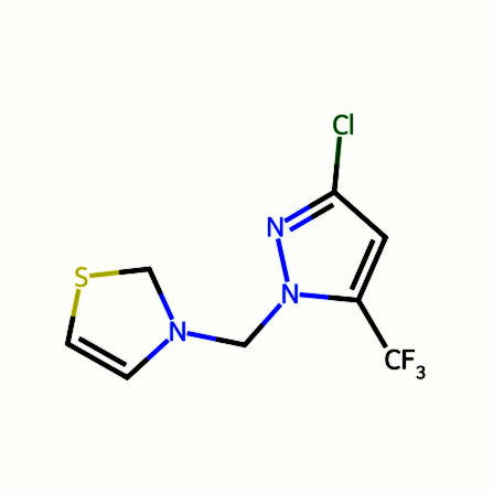 FC(F)(F)c1cc(Cl)nn1CN1C=CSC1